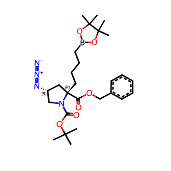 CC(C)(C)OC(=O)N1C[C@H](N=[N+]=[N-])C[C@]1(CCCCB1OC(C)(C)C(C)(C)O1)C(=O)OCc1ccccc1